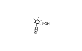 CP(C)O.Cc1c(C)c(C)c(C)c(C)c1C.[Cl][Ru][Cl]